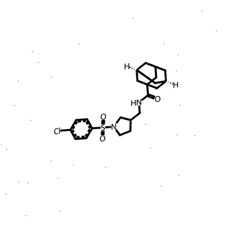 O=C(NCC1CCN(S(=O)(=O)c2ccc(Cl)cc2)C1)C12CC3C[C@H](C1)C[C@@H](C3)C2